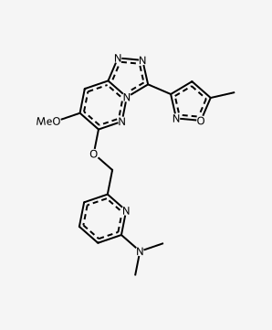 COc1cc2nnc(-c3cc(C)on3)n2nc1OCc1cccc(N(C)C)n1